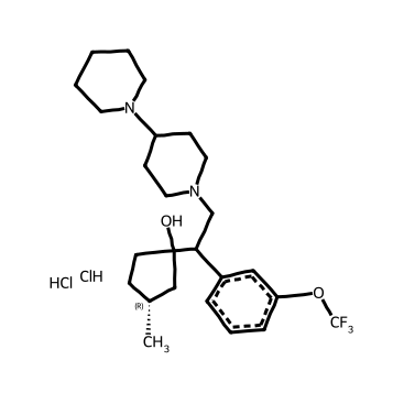 C[C@@H]1CCC(O)(C(CN2CCC(N3CCCCC3)CC2)c2cccc(OC(F)(F)F)c2)C1.Cl.Cl